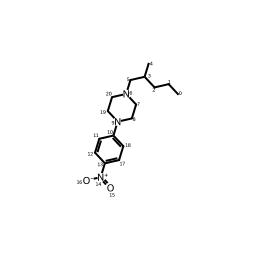 CCCC(C)CN1CCN(c2ccc([N+](=O)[O-])cc2)CC1